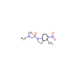 Cc1c([N+](=O)[O-])ccc2c1CCN2C(=O)CN(C)C